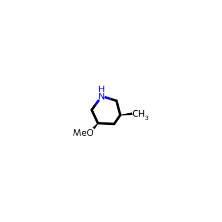 CO[C@H]1CNC[C@@H](C)C1